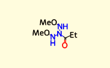 CCC(=O)N(NOC)NOC